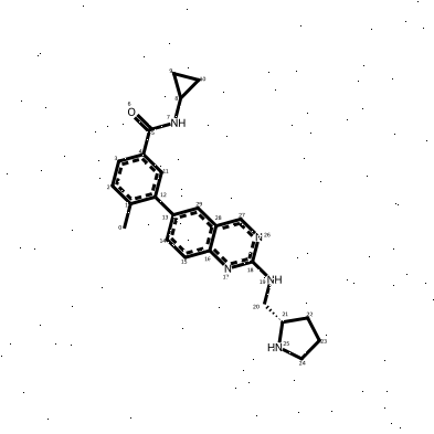 Cc1ccc(C(=O)NC2CC2)cc1-c1ccc2nc(NC[C@@H]3CCCN3)ncc2c1